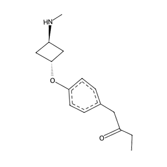 CCC(=O)Cc1ccc(O[C@H]2C[C@H](NC)C2)cc1